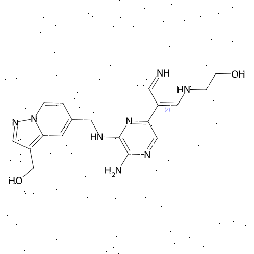 N=C/C(=C\NCCO)c1cnc(N)c(NCc2ccn3ncc(CO)c3c2)n1